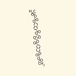 C=CC(=O)OCC(=O)Oc1ccc2cc(C(=O)OC3COC4C(OC(=O)c5ccc6cc(OC(=O)COC(=O)C=C)ccc6c5)COC34)ccc2c1